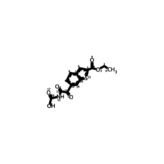 CCOC(=O)c1cc2ccc(C(=O)C(=O)NC(=O)O)cc2s1